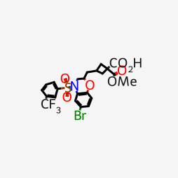 COC(=O)C1(C(=O)O)CC(CC2CN(S(=O)(=O)c3cccc(C(F)(F)F)c3)c3cc(Br)ccc3O2)C1